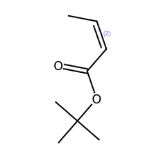 C/C=C\C(=O)OC(C)(C)C